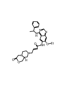 CCOc1cc2ncnc(NC(C)c3ccccc3)c2cc1NC(=O)C=CCN1CCN2CC(=O)OC[C@H]2C1